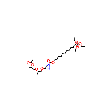 CCO[Si](CCCCCCCCCCCOC(=O)NCCOCC(C)OCC(C)OC(C)=O)(OCC)OCC